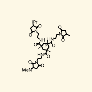 CNC1CC(=O)N(CCNC(=O)[C@@]2(C)C[C@@](C)(C(=O)NCCN3C(=O)CC(C)C3=O)C[C@@](C)(C(=O)NCCN3C(=O)CC(C(C)C)C3=O)C2)C1=O